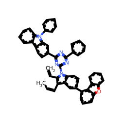 C=Cc1c(/C=C\C)c2cc(-c3cccc4oc5ccccc5c34)ccc2n1-c1nc(-c2ccccc2)nc(-c2ccc3c4ccccc4n(-c4ccccc4)c3c2)n1